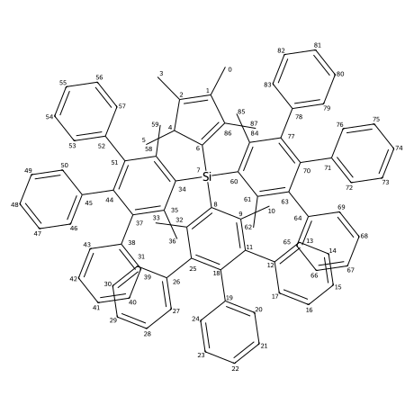 CC1=C(C)C(C)C([Si](c2c(C)c(-c3ccccc3)c(-c3ccccc3)c(-c3ccccc3)c2C)(c2c(C)c(-c3ccccc3)c(-c3ccccc3)c(-c3ccccc3)c2C)c2c(C)c(-c3ccccc3)c(-c3ccccc3)c(-c3ccccc3)c2C)=C1C